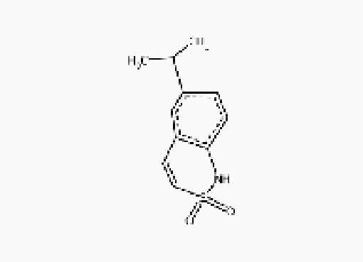 CC(C)c1ccc2c(c1)C=CS(=O)(=O)N2